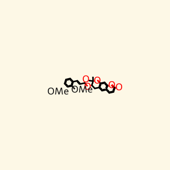 COc1cccc(C=CC(=O)OC2Cc3cc4ccc(=O)oc4cc3OC2(C)C)c1OC